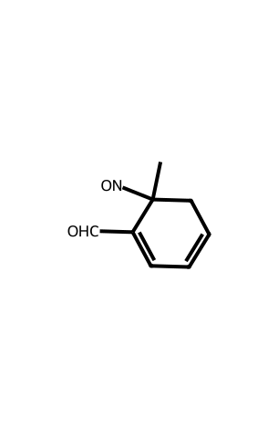 CC1(N=O)CC=CC=C1C=O